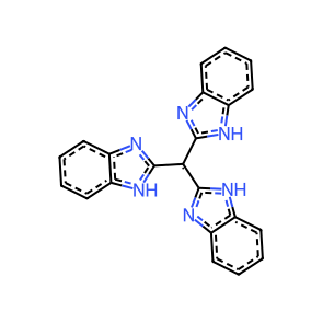 c1ccc2[nH]c([C](c3nc4ccccc4[nH]3)c3nc4ccccc4[nH]3)nc2c1